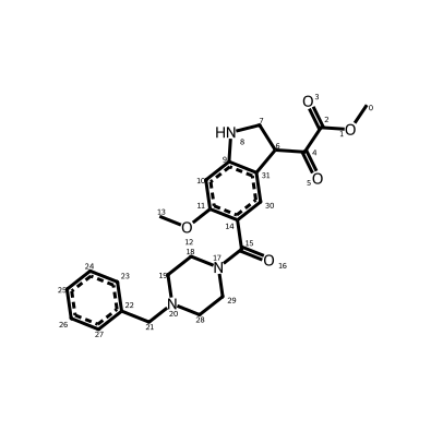 COC(=O)C(=O)C1CNc2cc(OC)c(C(=O)N3CCN(Cc4ccccc4)CC3)cc21